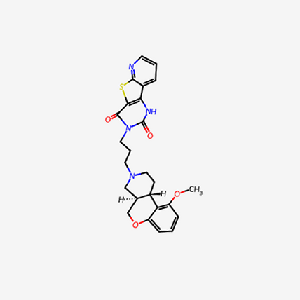 COc1cccc2c1[C@H]1CCN(CCCn3c(=O)[nH]c4c(sc5ncccc54)c3=O)C[C@@H]1CO2